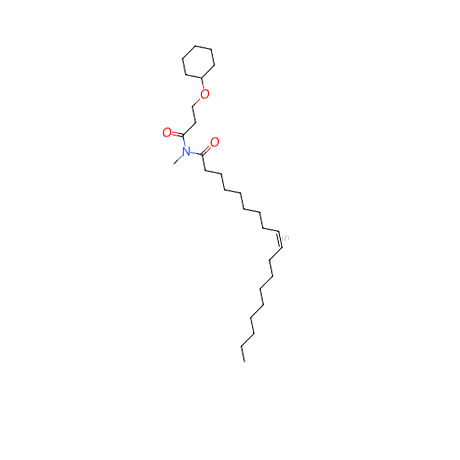 CCCCCCCC/C=C\CCCCCCCC(=O)N(C)C(=O)CCOC1CCCCC1